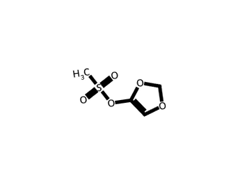 CS(=O)(=O)OC1=COCO1